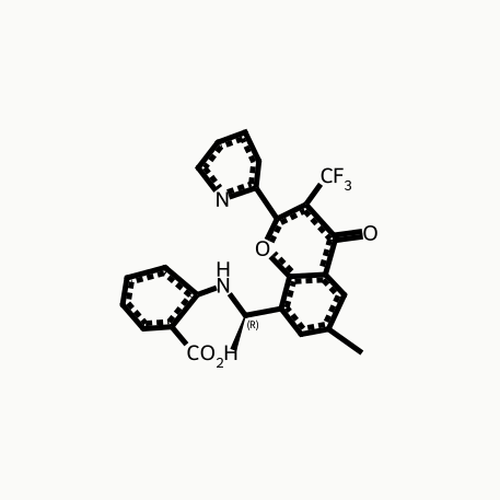 Cc1cc([C@@H](C)Nc2ccccc2C(=O)O)c2oc(-c3ccccn3)c(C(F)(F)F)c(=O)c2c1